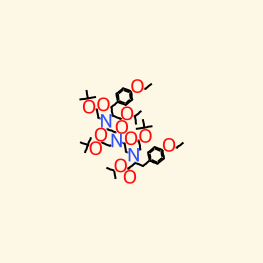 CCOc1ccc(CC(C(=O)OC(C)C)N(CCN(CCN(CC(=O)OC(C)(C)C)C(Cc2ccc(OCC)cc2)C(=O)OC(C)C)CC(=O)OC(C)(C)C)CC(=O)OC(C)(C)C)cc1